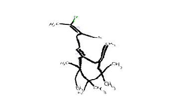 C=C1/C(=C\C(C(C)=O)=C(/C)Br)C(C)(C)C(C)(C)C1(C)C